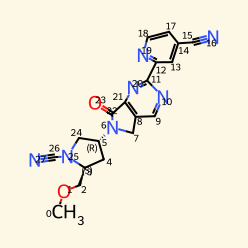 COC[C@@H]1C[C@@H](N2Cc3cnc(-c4cc(C#N)ccn4)nc3C2=O)CN1C#N